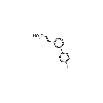 O=C(O)/C=C/c1cccc(-c2ccc(F)cc2)c1